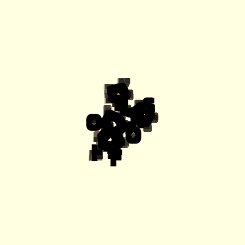 O=C1CCC(C(=O)N2CCSCC2CN2CCCC2)c2cc(F)c(F)cc21